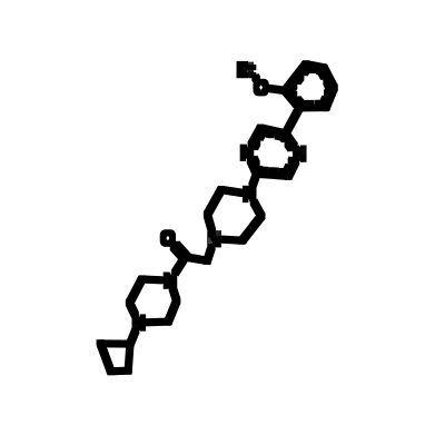 CCOc1ccccc1-c1cnc(N2CCN(CC(=O)N3CCN(C4CCC4)CC3)CC2)cn1